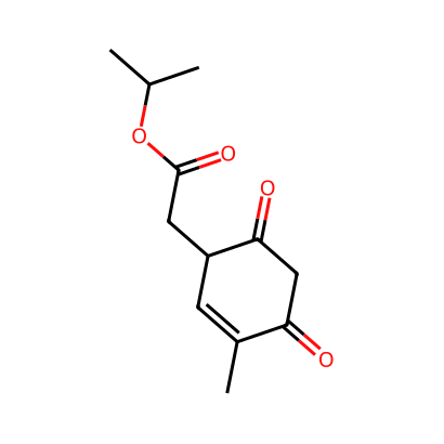 CC1=CC(CC(=O)OC(C)C)C(=O)CC1=O